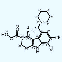 C[C@H]1c2c([nH]c3c(Cl)c(Cl)cc(CN4CCCCC4)c23)CCN1C(=O)CO